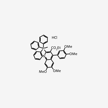 CCOC(=O)c1c(P(C)(c2ccccc2)(c2ccccc2)c2ccccc2)nc2cc(OC)c(OC)cc2c1-c1ccc(OC)c(OC)c1.Cl